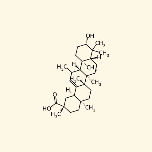 CC1C=C2[C@@H]3C[C@@](C)(C(=O)O)CC[C@]3(C)CC[C@@]2(C)[C@]2(C)CC[C@H]3C(C)(C)[C@@H](O)CC[C@]3(C)[C@@H]12